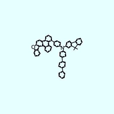 CC1(C)c2ccccc2-c2ccc(N(c3ccc(-c4ccc(-c5ccccc5)cc4)cc3)c3ccc(-c4cccc5c6ccc7oc8ccccc8c7c6c6ccccc6c45)cc3)cc21